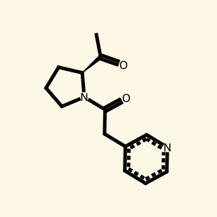 CC(=O)[C@@H]1CCCN1C(=O)Cc1cccnc1